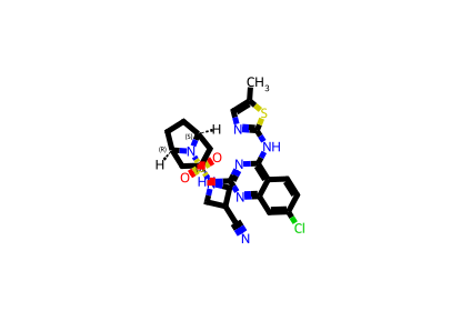 Cc1cnc(Nc2nc(N[C@@H]3C[C@H]4CC[C@@H](C3)N4S(=O)(=O)N3CC(C#N)C3)nc3cc(Cl)ccc23)s1